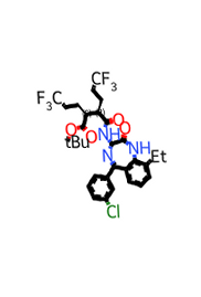 CCc1cccc2c1NC(=O)C(NC(=O)[C@H](CCC(F)(F)F)[C@H](CCC(F)(F)F)C(=O)OC(C)(C)C)N=C2c1cccc(Cl)c1